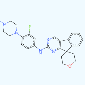 CN1CCN(c2ccc(Nc3ncc4c(n3)C3(CCOCC3)c3ccccc3-4)cc2F)CC1